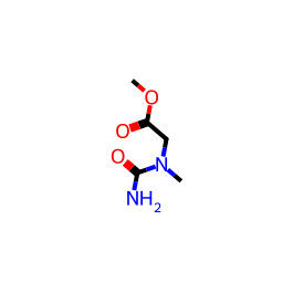 COC(=O)CN(C)C(N)=O